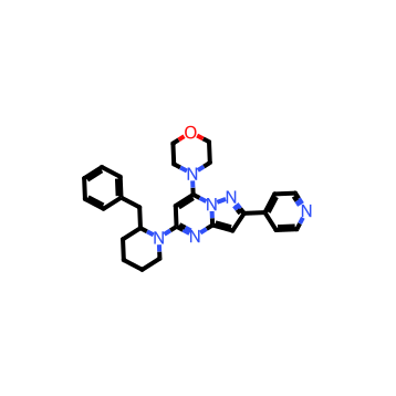 c1ccc(CC2CCCCN2c2cc(N3CCOCC3)n3nc(-c4ccncc4)cc3n2)cc1